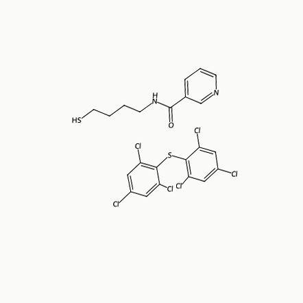 Clc1cc(Cl)c(Sc2c(Cl)cc(Cl)cc2Cl)c(Cl)c1.O=C(NCCCCS)c1cccnc1